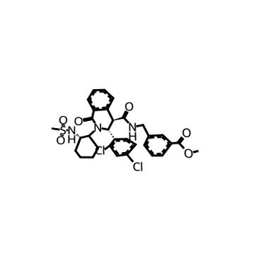 COC(=O)c1cccc(CNC(=O)[C@@H]2c3ccccc3C(=O)N(C3CCCC[C@@H]3NS(C)(=O)=O)[C@H]2c2ccc(Cl)cc2Cl)c1